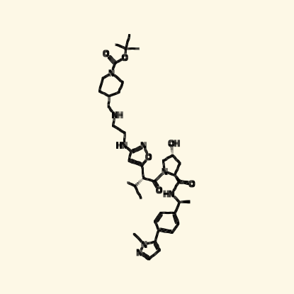 CC(C)[C@@H](C(=O)N1C[C@H](O)C[C@H]1C(=O)N[C@@H](C)c1ccc(-c2ccnn2C)cc1)c1cc(NCCNCC2CCN(C(=O)OC(C)(C)C)CC2)no1